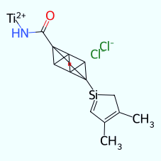 CC1=C(C)C[Si](C23CCC4(C(=O)[NH][Ti+2])C5C46C2C536)=C1.[Cl-].[Cl-]